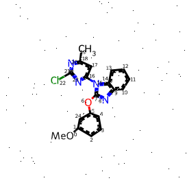 COc1cccc(Oc2nc3ccccc3n2-c2cc(C)nc(Cl)n2)c1